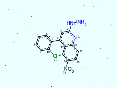 NNc1cc(-c2ccccc2Cl)c2cc([N+](=O)[O-])ccc2n1